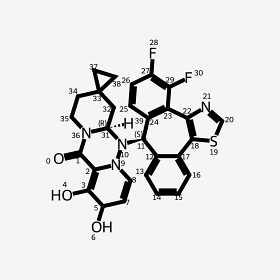 O=C1C2=C(O)C(O)C=CN2N([C@@H]2c3ccccc3-c3scnc3-c3c2ccc(F)c3F)[C@@H]2CC3(CCN12)CC3